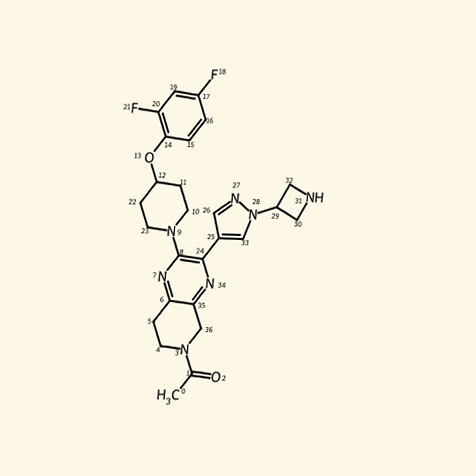 CC(=O)N1CCc2nc(N3CCC(Oc4ccc(F)cc4F)CC3)c(-c3cnn(C4CNC4)c3)nc2C1